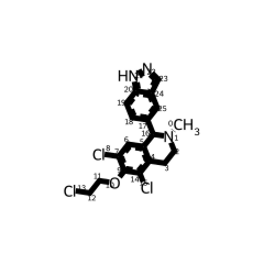 CN1CCc2c(cc(Cl)c(OCCCl)c2Cl)C1c1ccc2[nH]ncc2c1